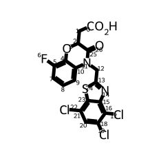 O=C(O)CC1Oc2c(F)cccc2N(Cc2nc3c(Cl)c(Cl)cc(Cl)c3s2)C1=O